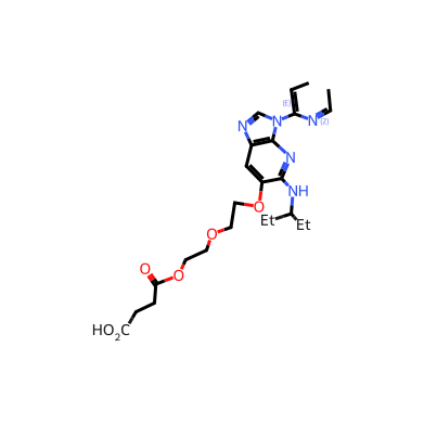 C/C=N\C(=C/C)n1cnc2cc(OCCOCCOC(=O)CCC(=O)O)c(NC(CC)CC)nc21